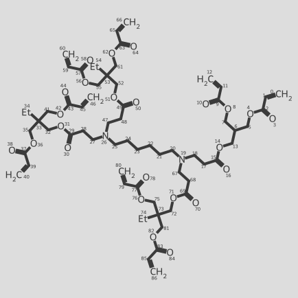 C=CC(=O)OCC(COC(=O)C=C)COC(=O)CCN(CCCCCCN(CCC(=O)OCC(CC)(COC(=O)C=C)COC(=O)C=C)CCC(=O)OCC(CC)(COC(=O)C=C)COC(=O)C=C)CCC(=O)OCC(CC)(COC(=O)C=C)COC(=O)C=C